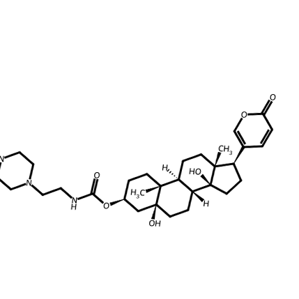 C[C@]12CC[C@H](OC(=O)NCCN3CCNCC3)C[C@@]1(O)CC[C@@H]1[C@@H]2CC[C@]2(C)[C@@H](c3ccc(=O)oc3)CC[C@]12O